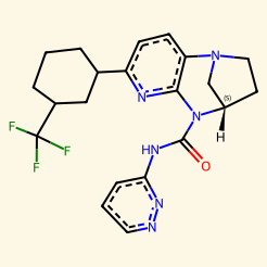 O=C(Nc1cccnn1)N1c2nc(C3CCCC(C(F)(F)F)C3)ccc2N2CC[C@H]1C2